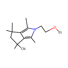 CCOCCn1c(C)c2c(c1C)C(C)(C#N)CC2(C)C